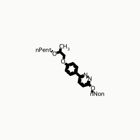 CCCCCCCCCOc1ccc(-c2ccc(OCC(C)OCCCCC)cc2)nn1